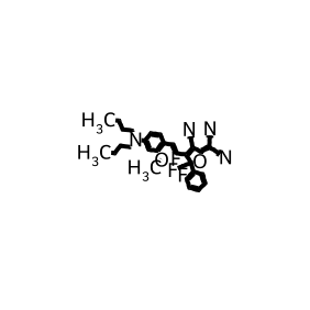 CCCCN(CCCC)c1ccc(/C=C/C2=C(C#N)C(=C(C#N)C#N)OC2(c2ccccc2)C(F)(F)F)c(OC)c1